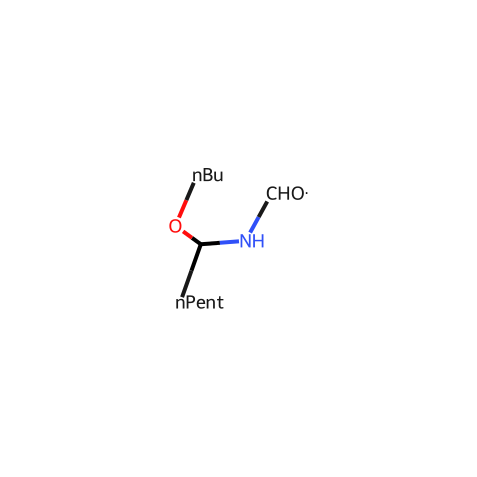 CCCCCC(N[C]=O)OCCCC